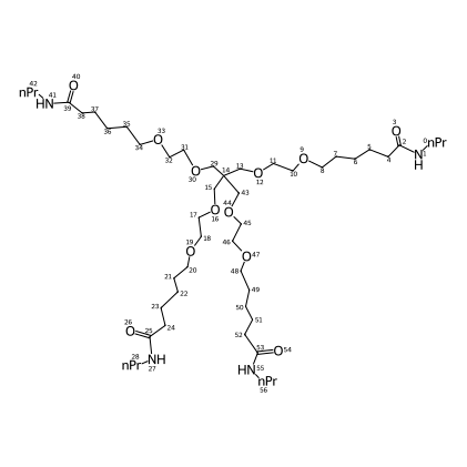 CCCNC(=O)CCCCCOCCOCC(COCCOCCCCCC(=O)NCCC)(COCCOCCCCCC(=O)NCCC)COCCOCCCCCC(=O)NCCC